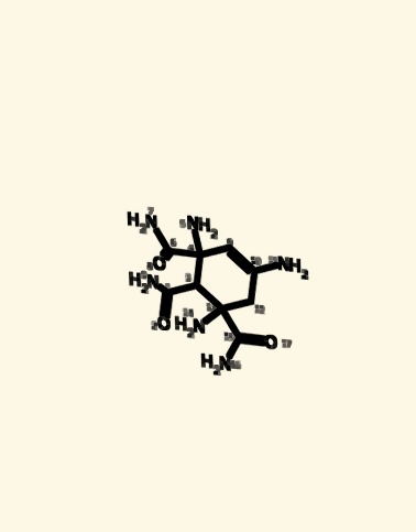 NC(=O)C1C(N)(C(N)=O)C=C(N)CC1(N)C(N)=O